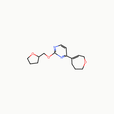 C1=C(c2ccnc(OCC3CCCO3)n2)CCCOC1